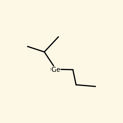 CC[CH2][Ge][CH](C)C